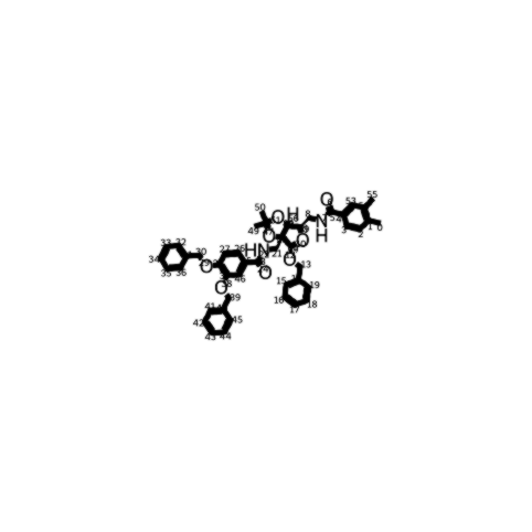 Cc1ccc(C(=O)NC[C@H]2O[C@@H](OCc3ccccc3)[C@]3(CNC(=O)c4ccc(OCc5ccccc5)c(OCc5ccccc5)c4)OC(C)(C)O[C@H]23)cc1C